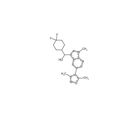 Cc1noc(C)c1-c1cnc2c(c1)c(C(O)C1CCC(F)(F)CC1)cn2C